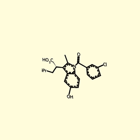 Cc1c([C@H](CC(C)C)C(=O)O)c2cc(O)ccc2n1C(=O)c1cccc(Cl)c1